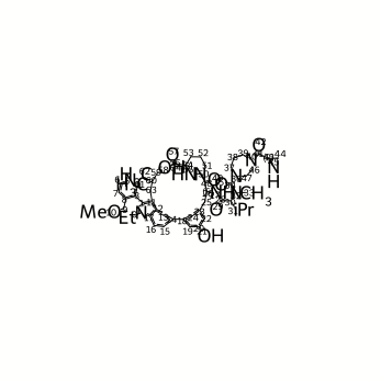 CCn1c(-c2cnccc2COC)c2c3cc(ccc31)-c1cc(O)cc(c1)C[C@H](NC(=O)C(C(C)C)N(C)C(=O)N1CCCN(C(=O)[C@H]3CN3)CC1)C(=O)N1CCC[C@H](N1)C(=O)OCC(C)(C)C2